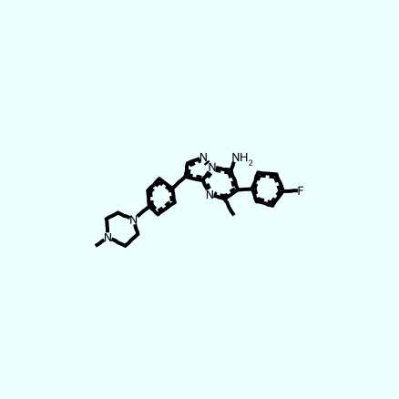 Cc1nc2c(-c3ccc(N4CCN(C)CC4)cc3)cnn2c(N)c1-c1ccc(F)cc1